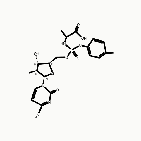 CC(NP(=O)(OC[C@H]1S[C@@H](n2ccc(N)nc2=O)[C@@H](F)[C@@H]1O)Oc1ccc(I)cc1)C(=O)O